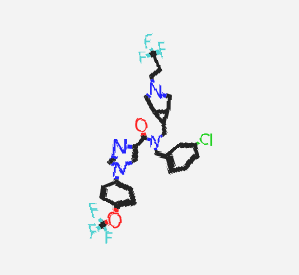 O=C(c1cn(-c2ccc(OC(F)(F)F)cc2)cn1)N(Cc1cccc(Cl)c1)CC1C2CN(CCC(F)(F)F)CC21